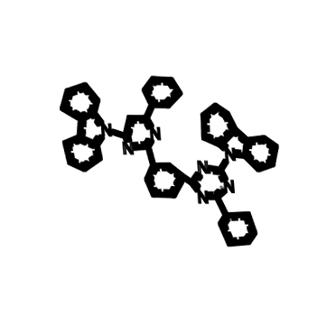 c1ccc(-c2cc(-n3c4ccccc4c4ccccc43)nc(-c3cccc(-c4nc(-c5ccccc5)nc(-n5c6ccccc6c6ccccc65)n4)c3)n2)cc1